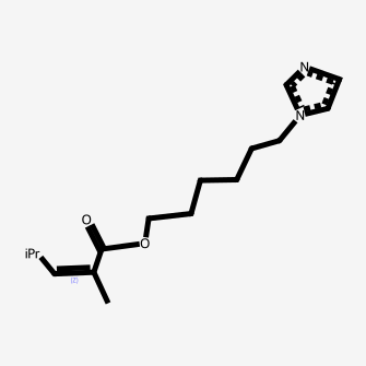 C/C(=C/C(C)C)C(=O)OCCCCCCn1ccnc1